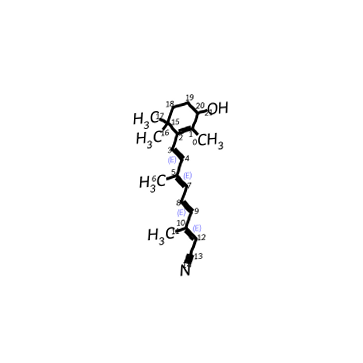 CC1=C(/C=C/C(C)=C/C=C/C(C)=C/C#N)C(C)(C)CCC1O